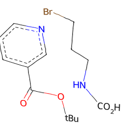 CC(C)(C)OC(=O)c1cccnc1.O=C(O)NCCCBr